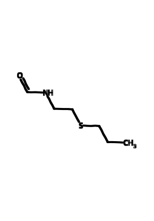 CCCSCCNC=O